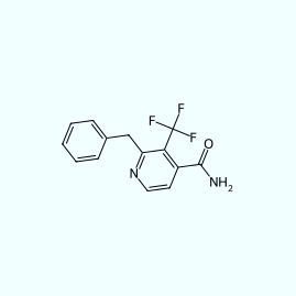 NC(=O)c1ccnc(Cc2ccccc2)c1C(F)(F)F